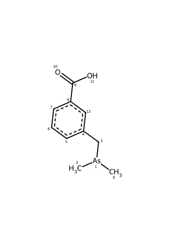 C[As](C)Cc1cccc(C(=O)O)c1